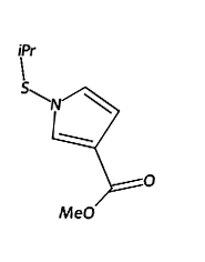 COC(=O)c1ccn(SC(C)C)c1